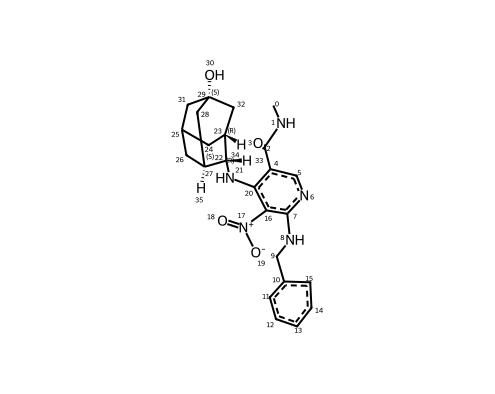 CNC(=O)c1cnc(NCc2ccccc2)c([N+](=O)[O-])c1N[C@H]1[C@@H]2CC3C[C@H]1C[C@@](O)(C3)C2